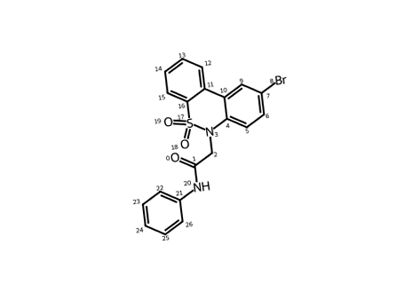 O=C(CN1c2ccc(Br)cc2-c2ccccc2S1(=O)=O)Nc1ccccc1